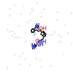 Cn1cc(NC(=O)NCCC2C3CC4CC2CC(C(O)CC2c5c(F)cccc5-c5cncn52)(C4)C3)cn1